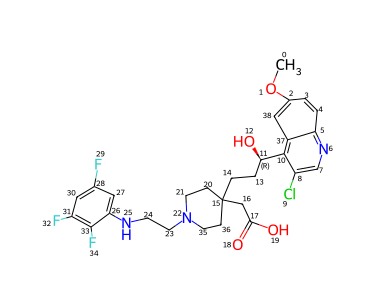 COc1ccc2ncc(Cl)c([C@H](O)CCC3(CC(=O)O)CCN(CCNc4cc(F)cc(F)c4F)CC3)c2c1